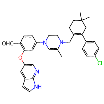 CC1=CN(c2ccc(C=O)c(Oc3cnc4[nH]ccc4c3)c2)CCN1CC1=C(c2ccc(Cl)cc2)CC(C)(C)CC1